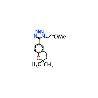 COCCn1nnnc1-c1ccc2c(c1)C=CC(C)(C)O2